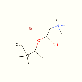 CCCCCCCC[Si](C)(C)C(C)OC(O)C[N+](C)(C)C.[Br-]